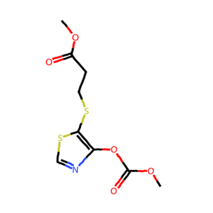 COC(=O)CCSc1scnc1OC(=O)OC